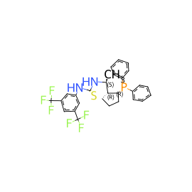 C[C@H](NC(=S)Nc1cc(C(F)(F)F)cc(C(F)(F)F)c1)[C@H]1CCC[C@H]1P(c1ccccc1)c1ccccc1